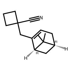 CC1(C)[C@H]2CC=C(CC3(C#N)CCC3)[C@@H]1C2